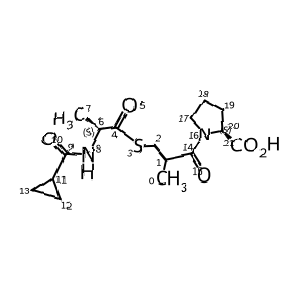 CC(CSC(=O)[C@H](C)NC(=O)C1CC1)C(=O)N1CCC[C@H]1C(=O)O